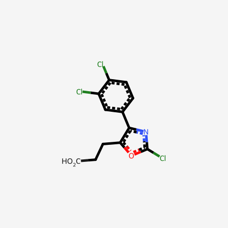 O=C(O)CCc1oc(Cl)nc1-c1ccc(Cl)c(Cl)c1